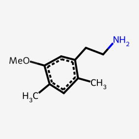 COc1cc(CCN)c(C)cc1C